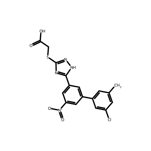 Cc1cc(Cl)cc(-c2cc(-c3nc(SCC(=O)O)n[nH]3)cc([N+](=O)[O-])c2)c1